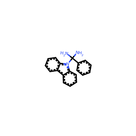 NC(N)(c1ccccc1)n1c2ccccc2c2ccccc21